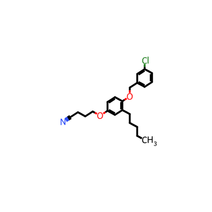 CCCCCc1cc(OCCCC#N)ccc1OCc1cccc(Cl)c1